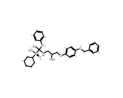 CCC(NCC(O)COc1ccc(OCc2ccccc2)cc1)(Oc1ccccc1)P(=O)(O)C1CCCCC1